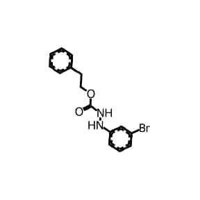 O=C(NNc1cccc(Br)c1)OCCc1ccccc1